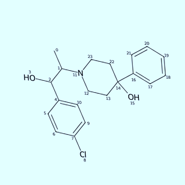 CC(C(O)c1ccc(Cl)cc1)N1CCC(O)(c2ccccc2)CC1